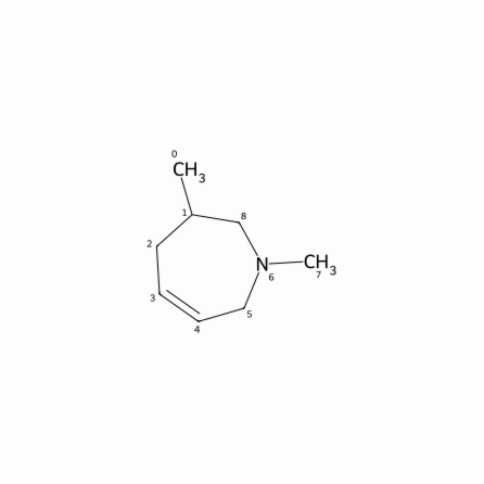 CC1CC=CCN(C)C1